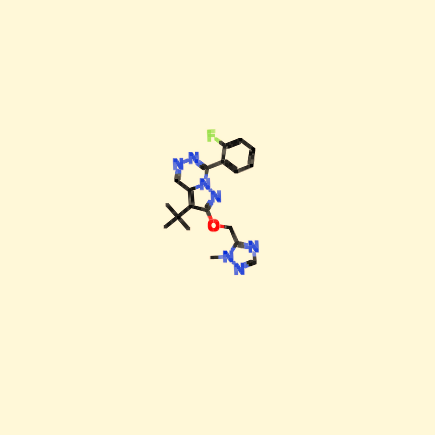 Cn1ncnc1COc1nn2c(-c3ccccc3F)nncc2c1C(C)(C)C